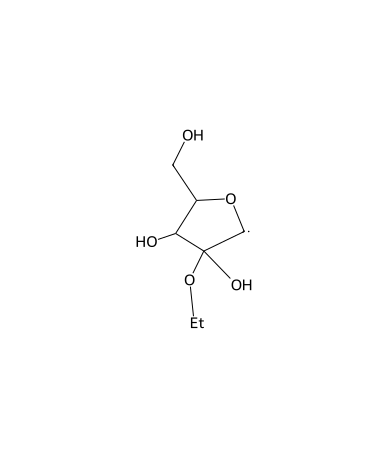 CCOC1(O)[CH]OC(CO)C1O